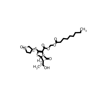 CCCCCCCCC(=O)OCOC(=O)C1=C(S[C@H]2CC[S@@+]([O-])C2)S[C@@H]2[C@@H]([C@@H](C)O)C(=O)N12